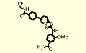 COc1cc(C(N)=O)ccc1Nc1nc2ccc(-c3ccc(C(=O)NCC(F)(F)F)cc3)cn2n1